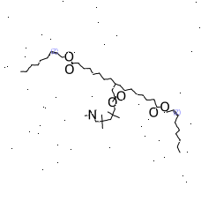 CCCCCC/C=C\COC(=O)CCCCCCCC(CCCCCCCC(=O)OC/C=C\CCCCCC)CC(=O)OCC(C)(C)CC(C)(C)CN(C)C